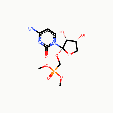 COP(=O)(CO[C@@]1(n2ccc(N)nc2=O)OC[C@@H](O)[C@H]1O)OC